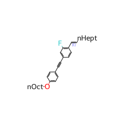 CCCCCCC/C=C/c1ccc(C#Cc2ccc(OCCCCCCCC)cc2)cc1F